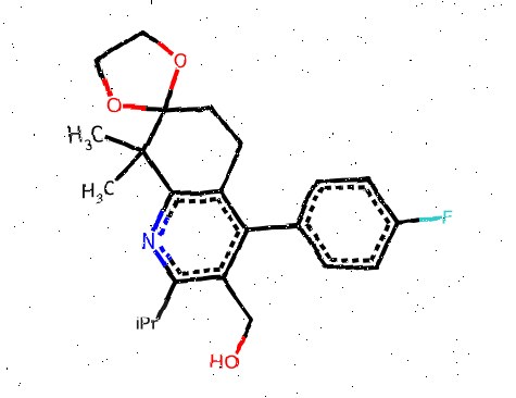 CC(C)c1nc2c(c(-c3ccc(F)cc3)c1CO)CCC1(OCCO1)C2(C)C